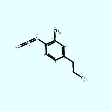 CCCc1ccc(N=C=O)c(C)c1